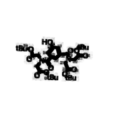 CC(C)(C)OC(=O)CN(CC(=O)OC(C)(C)C)C(=O)c1cc(O)cc(C(=O)N(CC(=O)OC(C)(C)C)CC(=O)OC(C)(C)C)c1